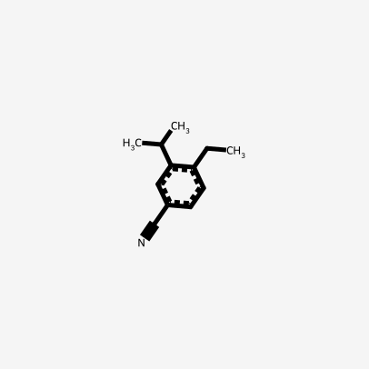 CCc1ccc(C#N)cc1[C](C)C